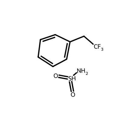 FC(F)(F)Cc1ccccc1.N[SH](=O)=O